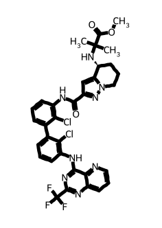 COC(=O)C(C)(C)N[C@@H]1CCCn2nc(C(=O)Nc3cccc(-c4cccc(Nc5nc(C(F)(F)F)nc6cccnc56)c4Cl)c3Cl)cc21